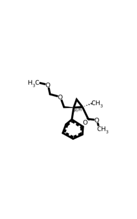 COCOC[C@@]1(c2ccccc2)C[C@@]1(C)C(=O)OC